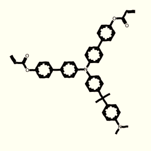 C=CC(=O)Oc1ccc(-c2ccc(N(c3ccc(-c4ccc(OC(=O)C=C)cc4)cc3)c3ccc(C(C)(C)c4ccc(N(C)C)cc4)cc3)cc2)cc1